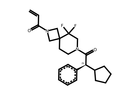 C=CC(=O)N1CC2(CCN(C(=O)[C@H](c3ccccc3)C3CCCC3)CC2(F)F)C1